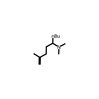 C=C(C)CCC(CCCC)N(C)C